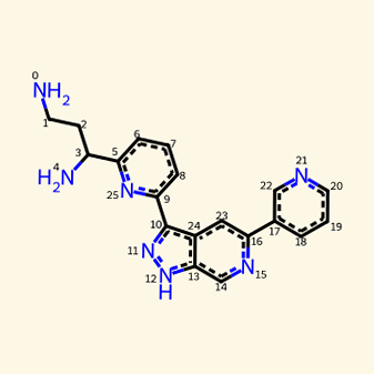 NCCC(N)c1cccc(-c2n[nH]c3cnc(-c4cccnc4)cc23)n1